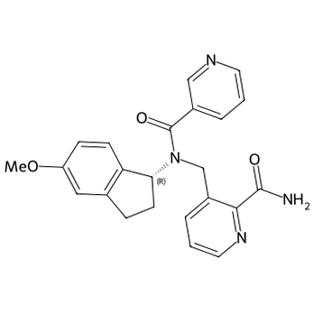 COc1ccc2c(c1)CC[C@H]2N(Cc1cccnc1C(N)=O)C(=O)c1cccnc1